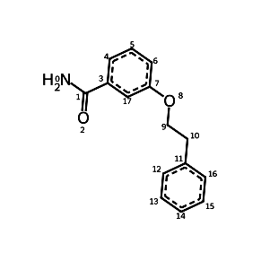 NC(=O)c1cccc(OCCc2ccccc2)c1